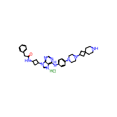 Cl.O=C(Cc1ccccc1)NC1CC(n2cnc3c(Nc4ccc(N5CCN(C6CC7(CCNCC7)C6)CC5)cc4)ncnc32)C1